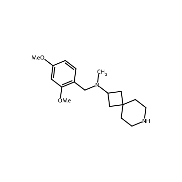 COc1ccc(CN(C)C2CC3(CCNCC3)C2)c(OC)c1